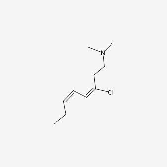 CC/C=C\C=C(\Cl)CCN(C)C